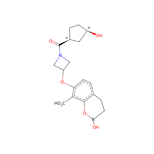 O=C(O)c1c(OC2CN(C(=O)[C@H]3CC[C@@H](O)C3)C2)ccc2c1OB(O)CC2